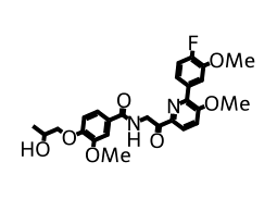 COc1cc(-c2nc(C(=O)CNC(=O)c3ccc(OCC(C)O)c(OC)c3)ccc2OC)ccc1F